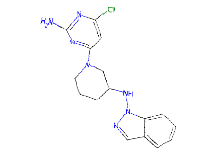 Nc1nc(Cl)cc(N2CCCC(Nn3ncc4ccccc43)C2)n1